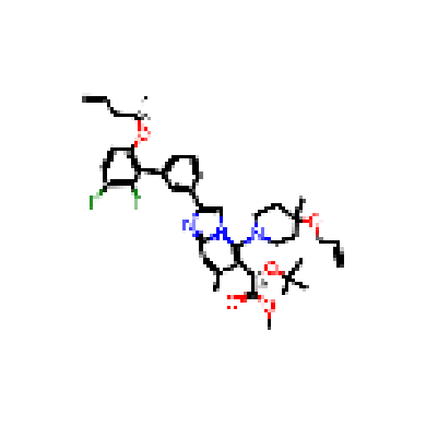 C=CCOC1(C)CCN(c2c([C@H](OC(C)(C)C)C(=O)OC)c(C)cc3nc(-c4cccc(-c5c(O[C@@H](C)CC=C)ccc(F)c5F)c4)cn23)CC1